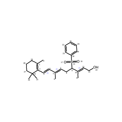 CC1=C(/C=C/C(C)=C/CC(/C(C)=C/CO)S(=O)(=O)c2ccccc2)C(C)(C)CCC1